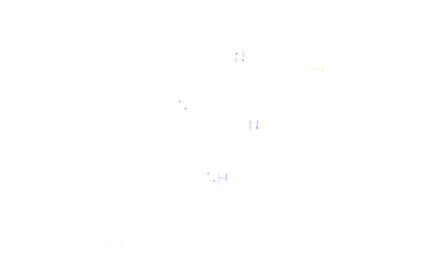 SCCNc1nc(S)nc(S)n1